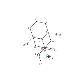 COC(=O)N1[C@@H]2CCC[C@H]1C[C@H](N)C2